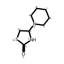 O=C1NC(N2CCCCC2)CS1